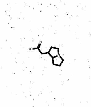 O=C(O)CC1CCN2CCCC12